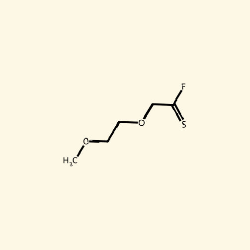 COCCOCC(F)=S